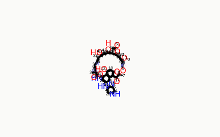 CO[C@H]1/C=C/O[C@@]2(C)Oc3cc(O)c4c(c3C2=O)C2=NC3(CCNCC3)NC2=C(NC(=O)/C(C)=C\C=C\[C@H](C)[C@H](O)[C@@H](C)[C@@H](O)[C@@H](C)[C@H](OC(C)=O)[C@@H]1C)C4=O